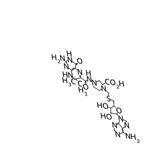 CC1(C)Nc2nc(N)[nH]c(=O)c2N=C1C(=O)NN1CCN(CSC[C@H]2O[C@@H](n3cnc4c(N)ncnc43)C(O)C2O)C(C(=O)O)C1